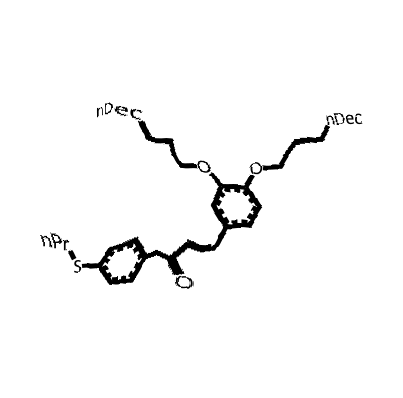 CCCCCCCCCCCCCOc1ccc(/C=C/C(=O)c2ccc(SCCC)cc2)cc1OCCCCCCCCCCCCC